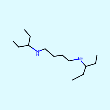 CCC(CC)NCCCCNC(CC)CC